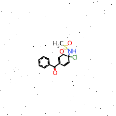 CS(=O)(=O)NC1(Cl)C=CC(C(=O)c2ccccc2)=CC1